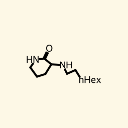 CCCCCCCCNC1CCCNC1=O